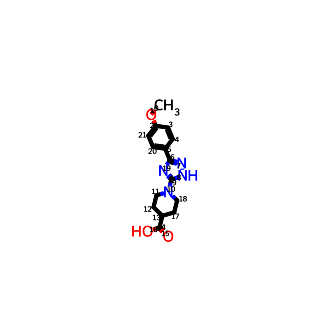 COc1ccc(-c2n[nH]c(N3CCC(C(=O)O)CC3)n2)cc1